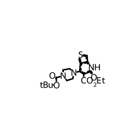 CCOC(=O)c1c(N2CCN(C(=O)OC(C)(C)C)CC2)c2cscc2[nH]c1=O